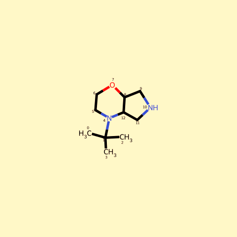 CC(C)(C)N1CCOC2CNCC21